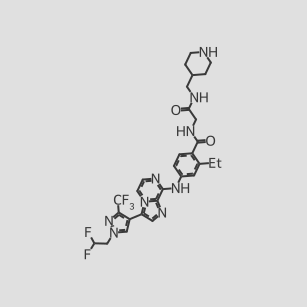 CCc1cc(Nc2nccn3c(-c4cn(CC(F)F)nc4C(F)(F)F)cnc23)ccc1C(=O)NCC(=O)NCC1CCNCC1